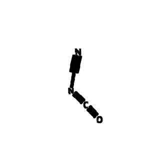 N#CN=C=O